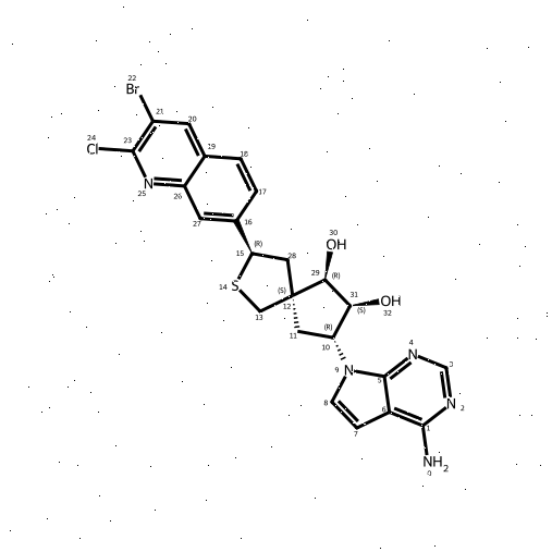 Nc1ncnc2c1ccn2[C@@H]1C[C@@]2(CS[C@@H](c3ccc4cc(Br)c(Cl)nc4c3)C2)[C@@H](O)[C@H]1O